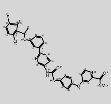 CNC(=O)c1cc(Oc2ccc(NC(=O)Nc3cnc(-c4cccc(OC(C)c5c(Cl)ccc(F)c5Cl)c4)nc3)cc2)ccn1